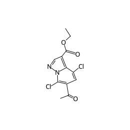 CCOC(=O)c1cnn2c(Cl)c(C(C)=O)cc(Cl)c12